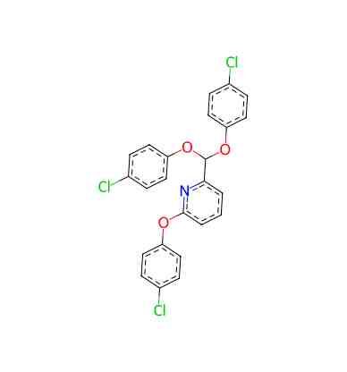 Clc1ccc(Oc2cccc(C(Oc3ccc(Cl)cc3)Oc3ccc(Cl)cc3)n2)cc1